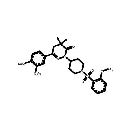 COc1ccc(C2=NN(C3CCN(S(=O)(=O)c4ccccc4OC(F)(F)F)CC3)C(=O)C(C)(C)C2)cc1OC